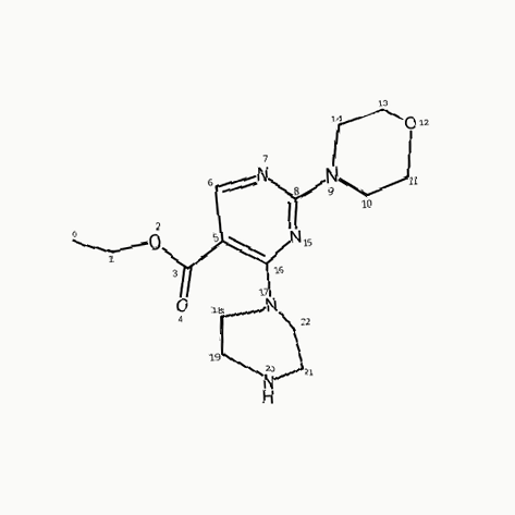 CCOC(=O)c1cnc(N2CCOCC2)nc1N1CCNCC1